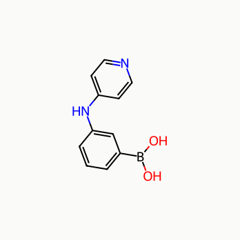 OB(O)c1cccc(Nc2ccncc2)c1